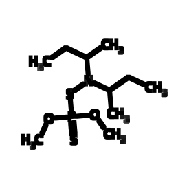 CCC(C)N(SP(=S)(OC)OC)C(C)CC